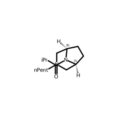 CCCCCN1C[C@H]2CC[C@@H](C1)N2C(=O)C(C)C